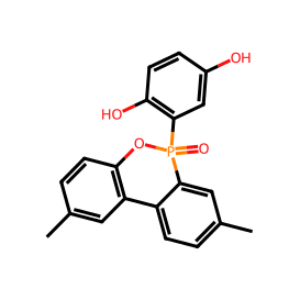 Cc1ccc2c(c1)-c1ccc(C)cc1P(=O)(c1cc(O)ccc1O)O2